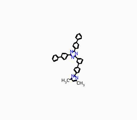 Cc1cc(C)nc(-c2ccc(-c3cccc(-c4nc(-c5ccc(-c6ccccc6)cc5)nc(-c5ccc(-c6ccccc6)cc5)n4)c3)cc2)n1